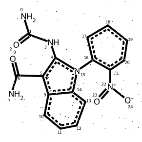 NC(=O)Nc1c(C(N)=O)c2ccccc2n1-c1ccccc1[N+](=O)[O-]